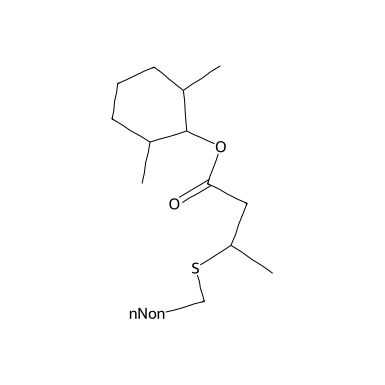 CCCCCCCCCCSC(C)CC(=O)OC1C(C)CCCC1C